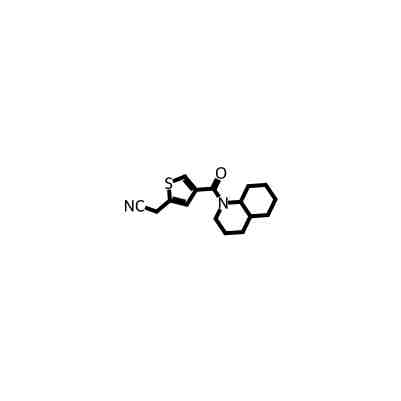 N#CCc1cc(C(=O)N2CCCC3CCCCC32)cs1